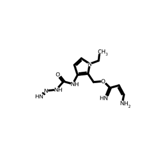 CCn1ccc(NC(=O)NN=N)c1COC(=N)/C=C\N